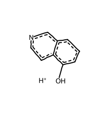 Oc1cccc2cnccc12.[H+]